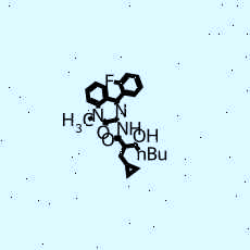 CCCCC(O)C(CC1CC1)C(=O)NC1N=C(c2ccccc2F)c2ccccc2N(C)C1=O